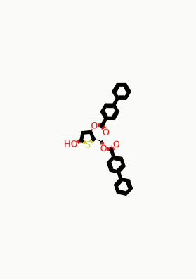 O=C(OC[C@@H]1SC(O)C[C@@H]1OC(=O)c1ccc(-c2ccccc2)cc1)c1ccc(-c2ccccc2)cc1